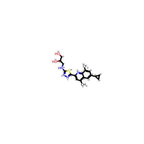 Cc1cc(-c2nnc(NCC(O)CO)s2)nc2c(C(F)(F)F)cc(C3CC3)cc12